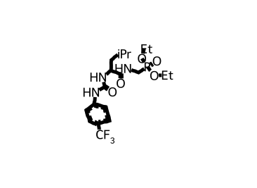 CCOP(=O)(CNC(=O)C(CC(C)C)NC(=O)Nc1ccc(C(F)(F)F)cc1)OCC